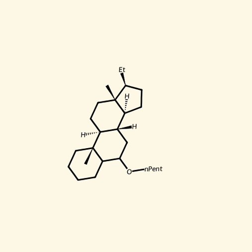 CCCCCOC1C[C@H]2[C@@H]3CC[C@H](CC)[C@@]3(C)CC[C@@H]2[C@@]2(C)CCCCC12